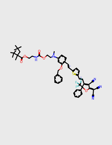 CN(CCOC(=O)NCCOC(=O)C(C)(CC(C)(C)C)C(C)(C)C)c1ccc(/C=C/c2ccc(/C=C/C3=C(C#N)C(=C(C#N)C#N)OC3(c3ccccc3)C(F)(F)F)s2)c(OCc2ccccc2)c1